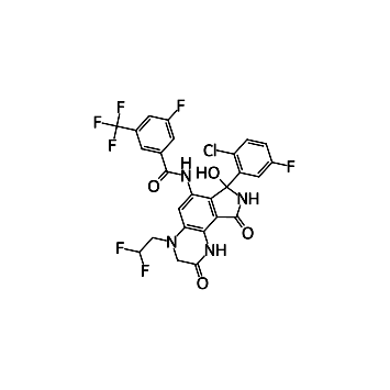 O=C1CN(CC(F)F)c2cc(NC(=O)c3cc(F)cc(C(F)(F)F)c3)c3c(c2N1)C(=O)NC3(O)c1cc(F)ccc1Cl